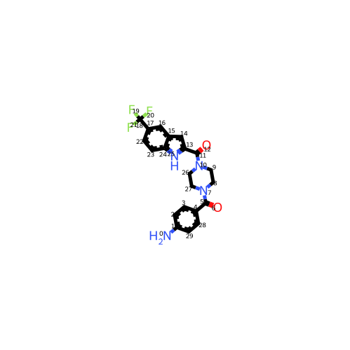 Nc1ccc(C(=O)N2CCN(C(=O)c3cc4cc(C(F)(F)F)ccc4[nH]3)CC2)cc1